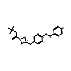 C=C(CC(C)(C)C)N1CC(Cc2ccc(CCc3ccccc3)cc2)C1